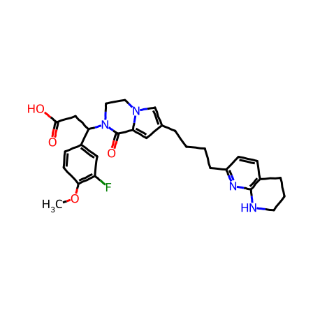 COc1ccc(C(CC(=O)O)N2CCn3cc(CCCCc4ccc5c(n4)NCCC5)cc3C2=O)cc1F